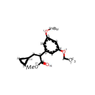 CCCCOc1cc(OCC(F)(F)F)cc(C(CC2CC2)C(=O)OC)c1